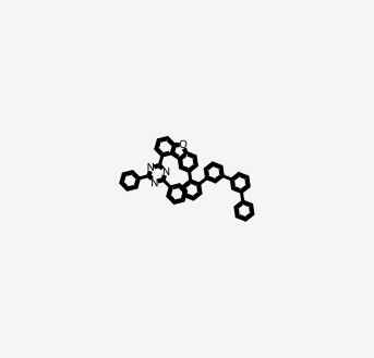 c1ccc(-c2cccc(-c3cccc(-c4ccccc4-c4ccc5oc6cccc(-c7nc(-c8ccccc8)nc(-c8ccccc8)n7)c6c5c4)c3)c2)cc1